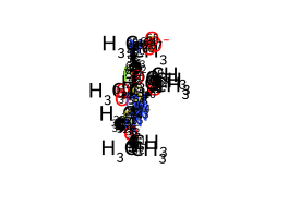 COC(=O)c1nc(N(CCCCO[Si](C)(C)C(C)(C)C)c2cc(C)c(/N=c3\sc4ccccc4n3COCC[Si](C)(C)C)nn2)sc1CCCOc1ccc(C#CC[N+](C)(C)CCCS(=O)(=O)[O-])cc1F